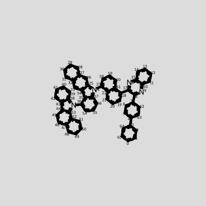 c1ccc(-c2ccc(-c3nc4ccccc4nc3-c3cccc4c(-n5c6cc7ccccc7cc6c6c(-n7c8ccccc8c8ccc9ccccc9c87)cccc65)cccc34)cc2)cc1